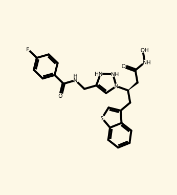 O=C(C[C@@H](Cc1csc2ccccc12)N1C=C(CNC(=O)c2ccc(F)cc2)NN1)NO